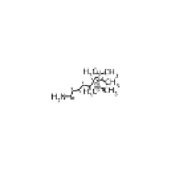 CC(C)[Si](C)(CCCCCCN)C(C)C